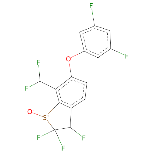 [O-][S+]1c2c(ccc(Oc3cc(F)cc(F)c3)c2C(F)F)C(F)C1(F)F